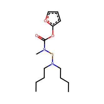 CCCCN(CCCC)SN(C)C(=O)Oc1ccco1